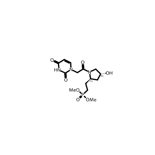 COP(=O)(CC[C@@H]1C[C@@H](O)CN1C(=O)Cn1ccc(=O)[nH]c1=O)OC